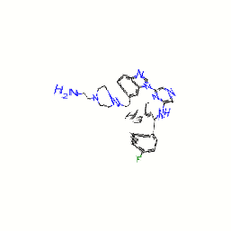 CC(Nc1cncc(-n2cnc3ccc(CN4CCN(CCN)CC4)cc32)n1)c1ccc(F)cc1